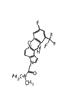 CN(C)C(=O)Cn1ccc2c(Nc3c(Cl)cc(F)cc3C(F)(F)F)nccc21